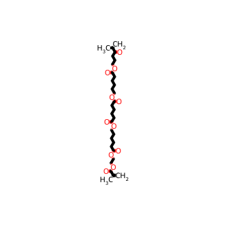 C=C(C)C(=O)CCCOC(=O)CCCCCOC(=O)CCCCC(=O)OCCCCCC(=O)OCCOC(=O)C(=C)C